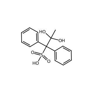 CC(O)(O)C(c1ccccc1)(c1ccccc1)S(=O)(=O)O